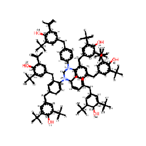 C=C(C)c1cc(CC2=CC(Cc3cc(C(C)(C)C)c(O)c(C(C)(C)C)c3)CC=C2N(CN(c2ccc(Cc3cc(C(=C)C)c(O)c(C(C)(C)C)c3)cc2)c2ccc(Cc3cc(C(C)(C)C)c(O)c(C(C)(C)C)c3)cc2Cc2cc(C(C)(C)C)c(O)c(C(C)(C)C)c2)C2C=CC(CC3=CC(C(C)(C)C)C(O)C(C(C)(C)C)=C3)=CC2)cc(C(C)(C)C)c1O